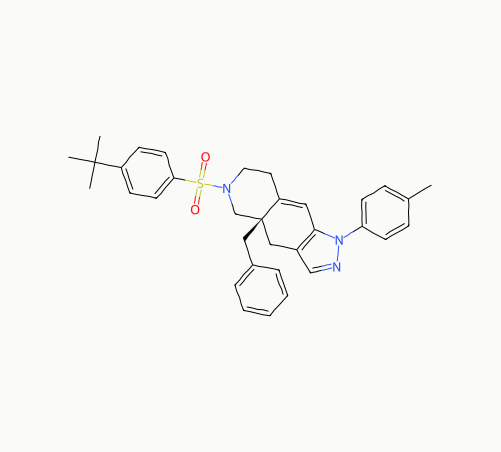 Cc1ccc(-n2ncc3c2C=C2CCN(S(=O)(=O)c4ccc(C(C)(C)C)cc4)C[C@@]2(Cc2ccccc2)C3)cc1